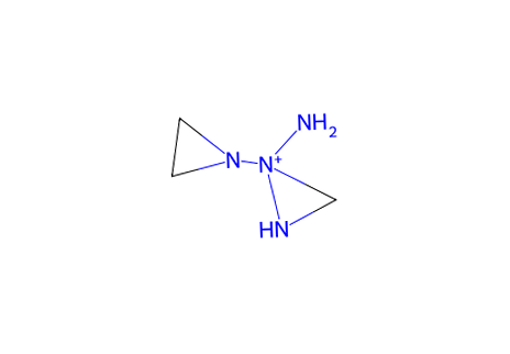 N[N+]1(N2CC2)CN1